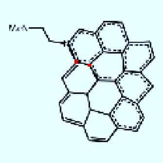 CNCCN(C)CCCC12C3=CC=C4C=Cc5ccc6cc7ccc8ccc9ccc(c%10c1c(c6c5C42)c7c8c9%10)=C3